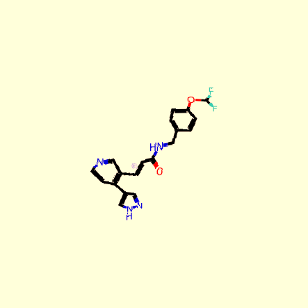 O=C(/C=C/c1cnccc1-c1cn[nH]c1)NCc1ccc(OC(F)F)cc1